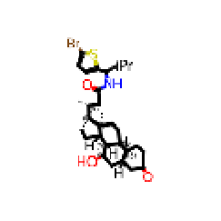 CC(C)C(NC(=O)C[C@@H](C)[C@H]1CC[C@H]2[C@@H]3[C@H](O)C[C@@H]4CC(=O)CC[C@]4(C)[C@H]3CC[C@]12C)c1ccc(Br)s1